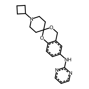 c1cnc(Nc2ccc3c(c2)COC2(CCN(C4CCC4)CC2)O3)nc1